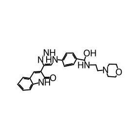 N=N/C(=C\Nc1ccc(C(O)NCCN2CCOCC2)cc1)c1cc2ccccc2[nH]c1=O